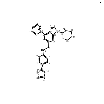 c1ccc(-c2cc(CNc3ncc(-c4nnn[nH]4)cn3)cc3c2ncn3C2CCCCO2)cc1